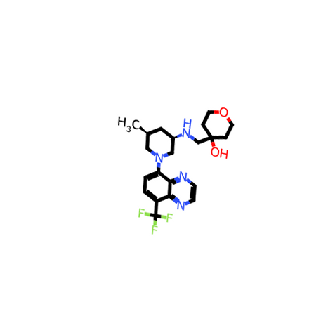 C[C@H]1C[C@@H](NCC2(O)CCOCC2)CN(c2ccc(C(F)(F)F)c3nccnc23)C1